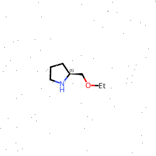 CCOC[C@@H]1CCCN1